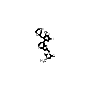 Cc1cc(Cl)cc(-c2ccnc3cc(CN4C(=O)CN(C)C4=O)sc23)c1CC1CNCCO1